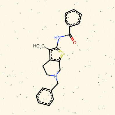 O=C(Nc1sc2c(c1C(=O)O)CCN(Cc1ccccc1)C2)c1ccccc1